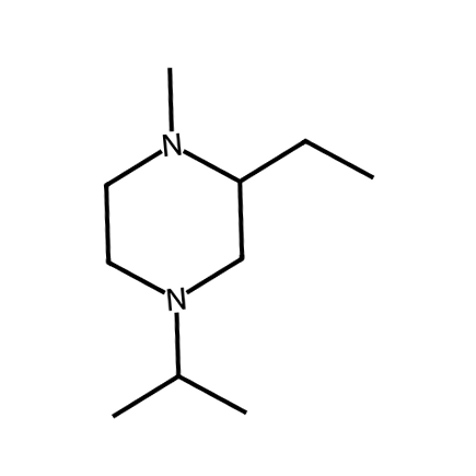 CCC1CN(C(C)C)CCN1C